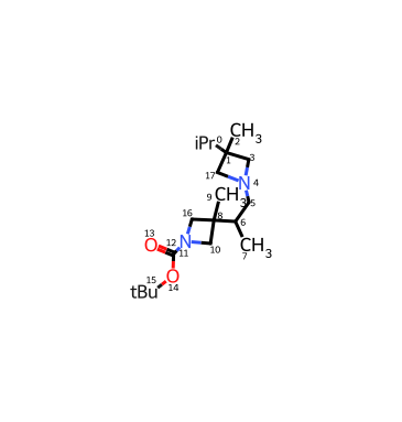 CC(C)C1(C)CN(CC(C)C2(C)CN(C(=O)OC(C)(C)C)C2)C1